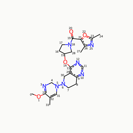 COC1=NCN(N2CCc3ncnc(OC4CCN(C(=O)c5oc(C)nc5C)C4)c3C2)C=C1C